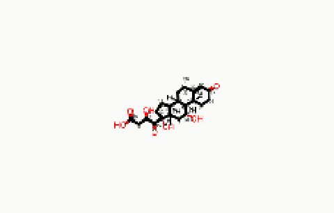 C[C@H]1C[C@@H]2[C@H]([C@@H](O)C[C@@]3(C)[C@H]2CC[C@]3(O)C(=O)C(O)CC(=O)O)[C@@]2(C)CCC(=O)C=C12